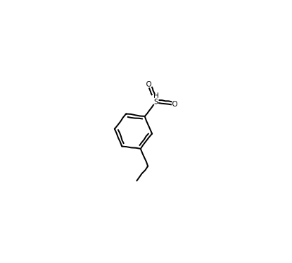 CCc1cccc([SH](=O)=O)c1